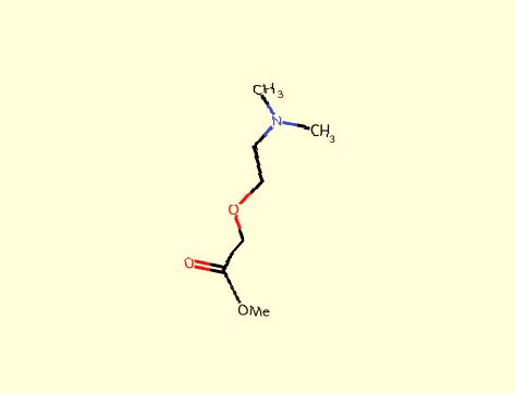 COC(=O)COCCN(C)C